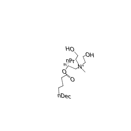 CCCCCCCCCCCCCC(=O)O[C@H](CCC)C[N+](C)(CCO)CCO